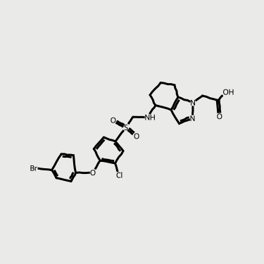 O=C(O)Cn1ncc2c1CCCC2NCS(=O)(=O)c1ccc(Oc2ccc(Br)cc2)c(Cl)c1